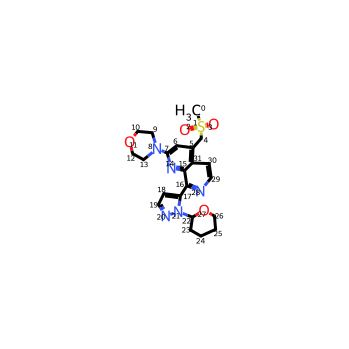 CS(=O)(=O)Cc1cc(N2CCOCC2)nc2c(-c3ccnn3C3CCCCO3)nccc12